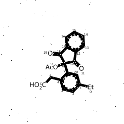 CCc1ccc(CC(=O)O)c(C2(OC(C)=O)C(=O)c3ccccc3C2=O)c1